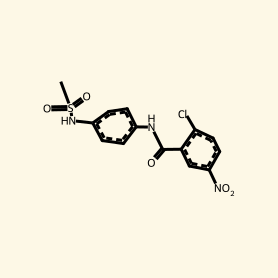 CS(=O)(=O)Nc1ccc(NC(=O)c2cc([N+](=O)[O-])ccc2Cl)cc1